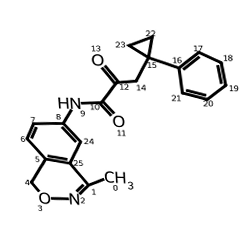 CC1=NOCc2ccc(NC(=O)C(=O)CC3(c4ccccc4)CC3)cc21